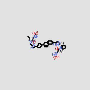 CCCN(Cc1ncc(-c2ccc(-c3ccc4cc(-c5cnc([C@@H]6[C@H]7CC[C@H](C7)N6C(=O)CNC(=O)OC)[nH]5)ccc4c3)cc2)[nH]1)C(=O)CNC(=O)OC